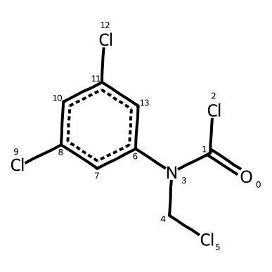 O=C(Cl)N(CCl)c1cc(Cl)cc(Cl)c1